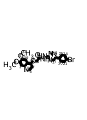 COc1cc2nccc(OCC(=O)NNc3ncc(-c4ccc(Br)cc4)nn3)c2cc1OC